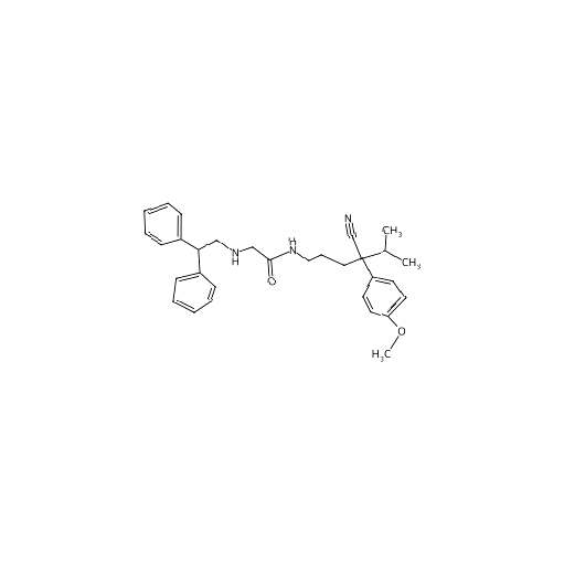 COc1ccc(C(C#N)(CCCNC(=O)CNCC(c2ccccc2)c2ccccc2)C(C)C)cc1